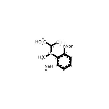 CCCCCCCCCc1ccccc1N(C)C(O)C(=O)O.[NaH]